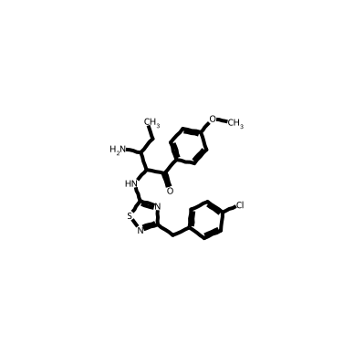 CCC(N)C(Nc1nc(Cc2ccc(Cl)cc2)ns1)C(=O)c1ccc(OC)cc1